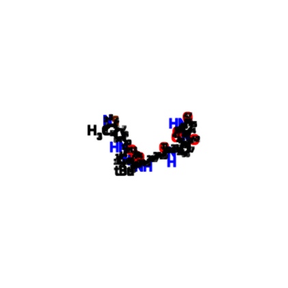 Cc1ncsc1-c1ccc(CNC(=O)C2CCCN2C(=O)[C@@H](NC(=O)CCCCCC(=O)NCc2cccc3c2C(=O)N(C2CCC(=O)NC2=O)C3=O)C(C)(C)C)cc1